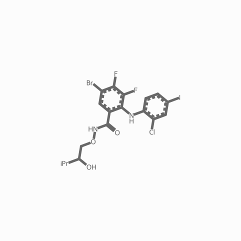 CC(C)C(O)CONC(=O)c1cc(Br)c(F)c(F)c1Nc1ccc(I)cc1Cl